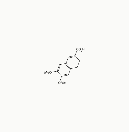 COc1cc2c(cc1OC)CCC(C(=O)O)=C2